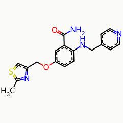 Cc1nc(COc2ccc(NCc3ccncc3)c(C(N)=O)c2)cs1